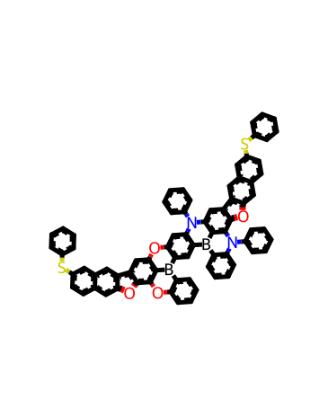 c1ccc(Sc2ccc3cc4oc5c6c7c(cc5c4cc3c2)Oc2cc3c(cc2B7c2ccccc2O6)B2c4ccccc4N(c4ccccc4)c4c2c(cc2c4oc4cc5ccc(Sc6ccccc6)cc5cc42)N3c2ccccc2)cc1